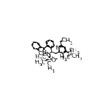 C=Cc1cc([Si](C)(C)C)c(F)c(CC(N[S+]([O-])C(C)(C)C)c2ccccc2-c2noc3ccccc23)n1